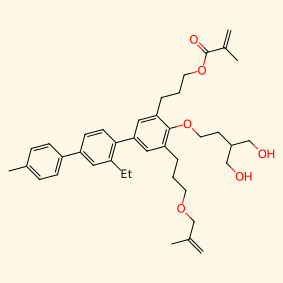 C=C(C)COCCCc1cc(-c2ccc(-c3ccc(C)cc3)cc2CC)cc(CCCOC(=O)C(=C)C)c1OCCC(CO)CO